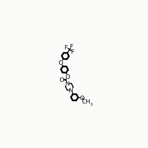 COc1cccc(N2CCN(C(=O)Oc3ccc(Oc4ccc(C(F)(F)F)cc4)cc3)CC2)c1